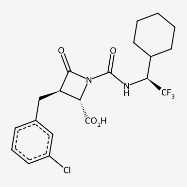 O=C(O)[C@@H]1[C@@H](Cc2cccc(Cl)c2)C(=O)N1C(=O)N[C@@H](C1CCCCC1)C(F)(F)F